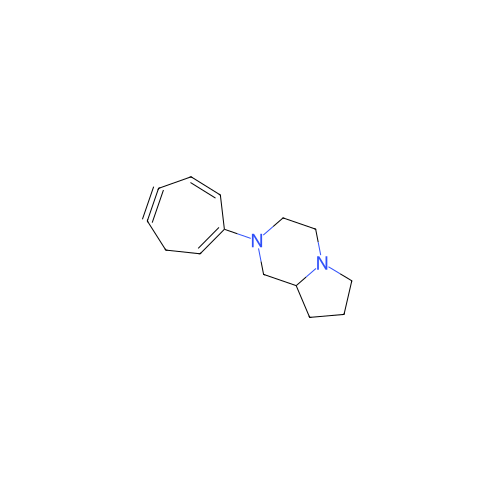 C1#CCC=C(N2CCN3CCCC3C2)C=C1